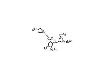 CCCC1CCN(CCCCC(=O)c2cc(Cl)c(N)cc2OCc2cc(OC)cc(OC)c2)CC1